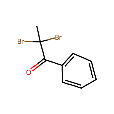 CC(Br)(Br)C(=O)c1ccccc1